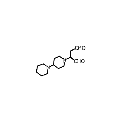 O=CCC(C=O)N1CCC(N2CCCCC2)CC1